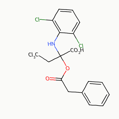 O=C(Cc1ccccc1)OC(CC(Cl)(Cl)Cl)(Nc1c(Cl)cccc1Cl)C(=O)O